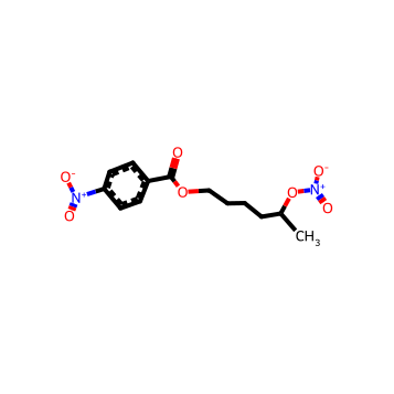 CC(CCCCOC(=O)c1ccc([N+](=O)[O-])cc1)O[N+](=O)[O-]